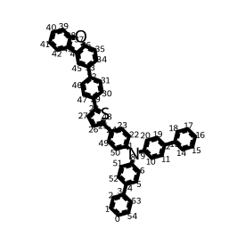 c1ccc(-c2ccc(N(c3ccc(-c4ccccc4)cc3)c3ccc(-c4ccc(-c5ccc(-c6ccc7oc8ccccc8c7c6)cc5)s4)cc3)cc2)cc1